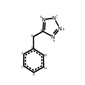 c1ccc(CC2=N[N]N=N2)cc1